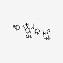 Cc1cn2c(-c3cn[nH]c3)cnc2c(Nc2cc(CN3CCNCC3=O)ns2)n1